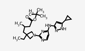 CCC1(CC(C)CC(=O)OC(C)(C)C)CN(c2nccc(Nc3cc(C4CC4)[nH]n3)n2)C1